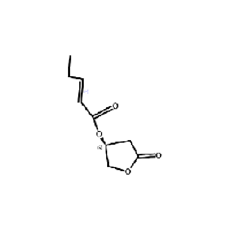 CC/C=C/C(=O)O[C@@H]1COC(=O)C1